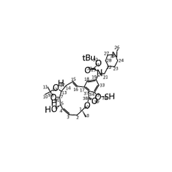 C[C@H]1C/C=C\[C@@H](O)[C@H]2OC(C)(C)O[C@H]2C/C=C/c2cc(N(CC3CCN(C)CC3)C(=O)OC(C)(C)C)cc(OS)c2C(=O)O1